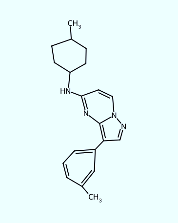 Cc1cccc(-c2cnn3ccc(NC4CCC(C)CC4)nc23)c1